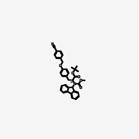 COC(=O)N(C1c2ccccc2-c2ccccc21)[C@@H](Cc1ccc(OCc2ccc(C#N)cc2)cc1)C(=O)OC(C)(C)C